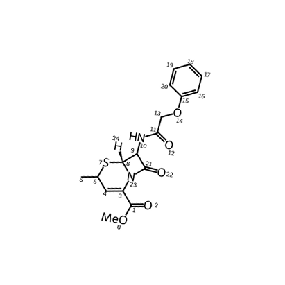 COC(=O)C1=CC(C)S[C@@H]2C(NC(=O)COc3ccccc3)C(=O)N12